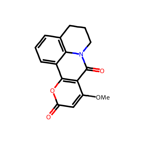 COc1cc(=O)oc2c1c(=O)n1c3c(cccc23)CCC1